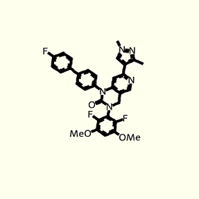 COc1cc(OC)c(F)c(N2Cc3cnc(-c4cn(C)nc4C)cc3N(c3ccc(-c4ccc(F)cc4)cc3)C2=O)c1F